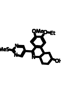 CCOc1cc2c(cc1OC)C(c1cnc(SC)nc1)=NC1CCC(O)CC21